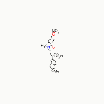 COc1ccc2cc([C@H](CCCN(C)C(=O)c3ccc(CO[N+](=O)[O-])cc3)C(=O)O)ccc2c1